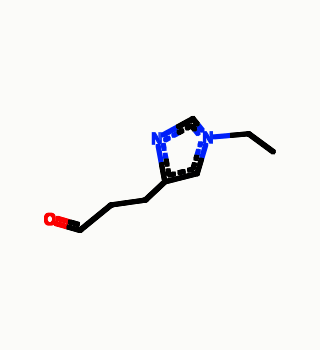 CCn1cnc(CCC=O)c1